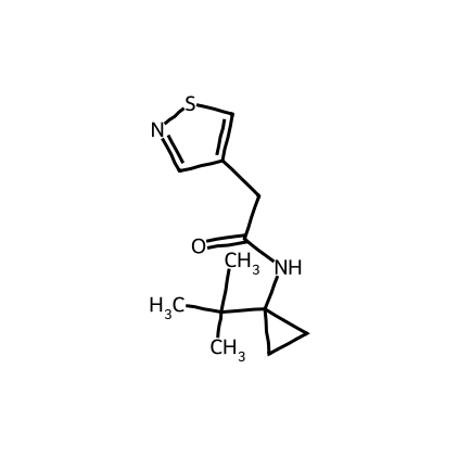 CC(C)(C)C1(NC(=O)Cc2cnsc2)CC1